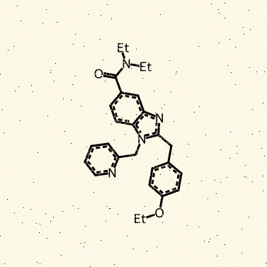 CCOc1ccc(Cc2nc3cc(C(=O)N(CC)CC)ccc3n2Cc2ccccn2)cc1